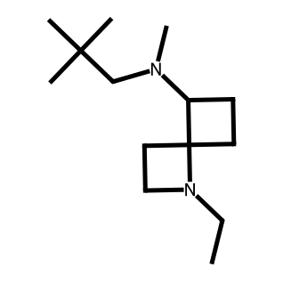 CCN1CCC12CCC2N(C)CC(C)(C)C